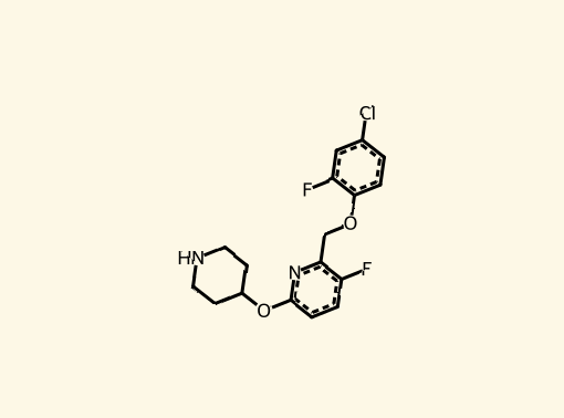 Fc1cc(Cl)ccc1OCc1nc(OC2CCNCC2)ccc1F